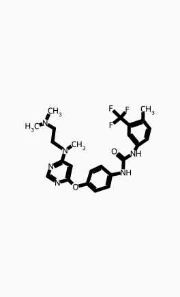 Cc1ccc(NC(=O)Nc2ccc(Oc3cc(N(C)CCN(C)C)ncn3)cc2)cc1C(F)(F)F